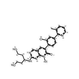 CCn1c(=O)c(-c2ccc(-c3ncccc3C)cc2Cl)cc2cnc(NC(CCO)CCO)nc21